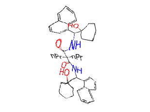 CCCC(CCC)(C(=O)NC(c1cccc2ccccc12)C1(O)CCCCC1)C(=O)NC(c1cccc2ccccc12)C1(O)CCCCC1